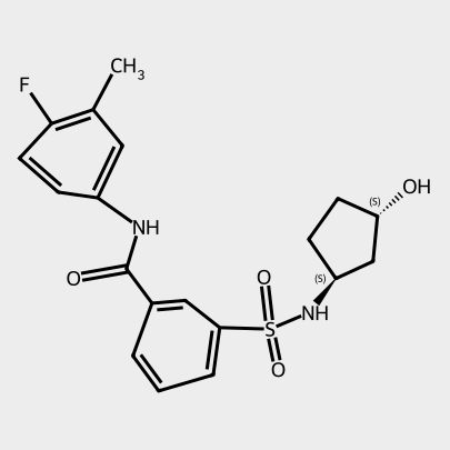 Cc1cc(NC(=O)c2cccc(S(=O)(=O)N[C@H]3CC[C@H](O)C3)c2)ccc1F